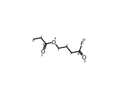 CCC(=O)OCCCC(=O)F